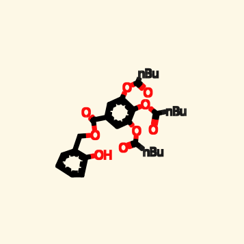 CCCCC(=O)Oc1cc(C(=O)OCc2ccccc2O)cc(OC(=O)CCCC)c1OC(=O)CCCC